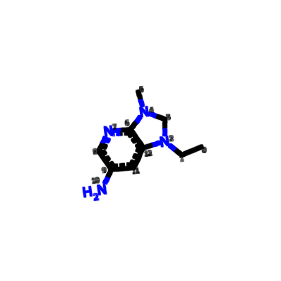 CCN1CN(C)c2ncc(N)cc21